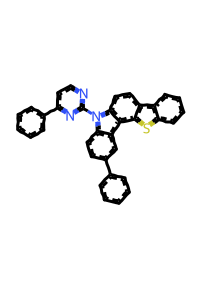 c1ccc(-c2ccc3c(c2)c2c4sc5ccccc5c4ccc2n3-c2nccc(-c3ccccc3)n2)cc1